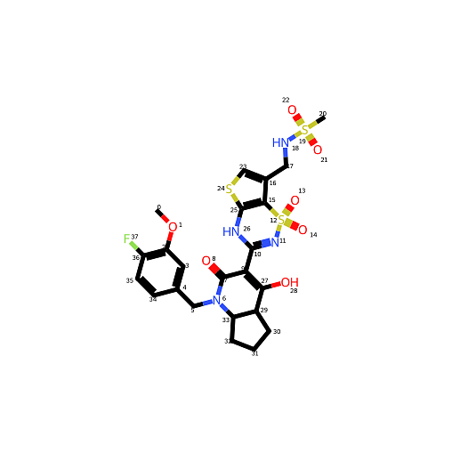 COc1cc(CN2C(=O)C(C3=NS(=O)(=O)c4c(CNS(C)(=O)=O)csc4N3)=C(O)C3CCCC32)ccc1F